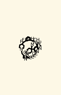 C[C@H]1Nc2ncnc3c2cc(C2(C#N)CCS(=O)(=O)CC2)c(=O)n3CCCCn2cc(cn2)CN2CCC(CC2)C(F)(F)c2cccc1c2F